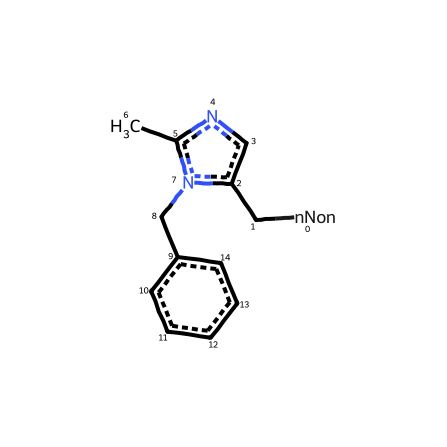 CCCCCCCCCCc1cnc(C)n1Cc1ccccc1